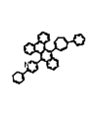 C1=CCCC(c2ccc(-c3c4ccccc4c(C4=CCC=C(c5ccccc5)C=C4)c4c5ccccc5c5ccccc5c34)cn2)=C1